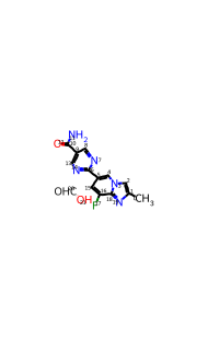 Cc1cn2cc(-c3ncc(C(N)=O)cn3)cc(F)c2n1.O=CO